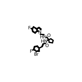 O=C(/C=C/c1ccc(F)c(Br)c1)NC1(C(=O)NCCn2ccc3cc(F)ccc32)CCCC1